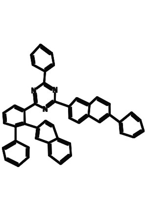 c1ccc(-c2ccc3cc(-c4nc(-c5ccccc5)nc(-c5cccc(-c6ccccc6)c5-c5ccc6ccccc6c5)n4)ccc3c2)cc1